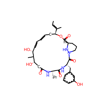 C/C=C(\C)[C@@H]1C/C=C/C=C/[C@@H](O)C(C)[C@@H](O)CC(=O)N[C@@H](C(C)C)C(=O)N[C@@H](Cc2cccc(O)c2)C(=O)N2CCC[C@H](N2)C(=O)O1